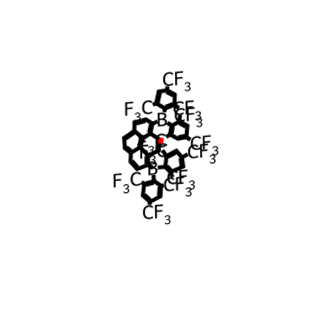 FC(F)(F)c1cc(C(F)(F)F)c(B(c2c(C(F)(F)F)cc(C(F)(F)F)cc2C(F)(F)F)c2ccc3ccc4ccc(B(c5c(C(F)(F)F)cc(C(F)(F)F)cc5C(F)(F)F)c5c(C(F)(F)F)cc(C(F)(F)F)cc5C(F)(F)F)c5ccc2c3c45)c(C(F)(F)F)c1